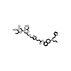 CCCN(CCc1cccs1)[C@@H]1CCc2c(cccc2OC(=O)CCn2cc(COCC(COC(CO)OC(CC)CO)OC(CO)OC)nn2)C1